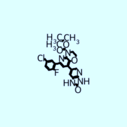 CC(C)(C)OC(=O)N1CCOc2c(-c3cnc4[nH]c(=O)[nH]c4c3)cc(-c3cc(Cl)ccc3F)nc21